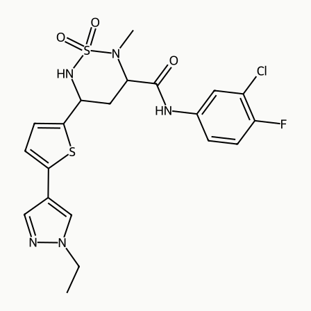 CCn1cc(-c2ccc(C3CC(C(=O)Nc4ccc(F)c(Cl)c4)N(C)S(=O)(=O)N3)s2)cn1